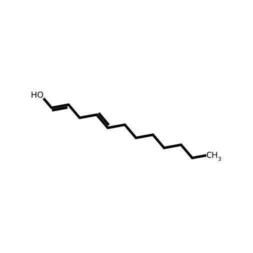 CCCCCCCC=CCC=CO